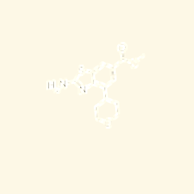 COC(=O)c1cc(C2CCOCC2)c2nc(N)sc2c1